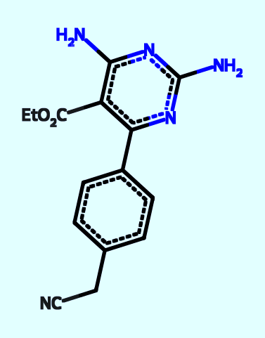 CCOC(=O)c1c(N)nc(N)nc1-c1ccc(CC#N)cc1